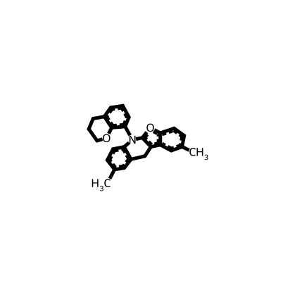 Cc1ccc2c(c1)Cc1c(oc3ccc(C)cc13)N2c1cccc2c1OCCC2